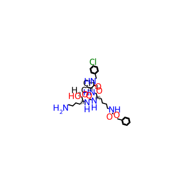 CC(C)[C@H](NC(=O)[C@@H](CCCCNC(=O)OCc1ccccc1)NC(=O)N[C@@H](CCCCN)C(=O)O)C(=O)NCc1ccc(Cl)cc1